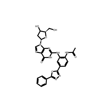 CC(=O)Nc1ccc(-c2nnc(-c3ccccc3)o2)cc1Nc1nc2c(ncn2[C@H]2CC(O)[C@@H](CO)O2)c(=O)[nH]1